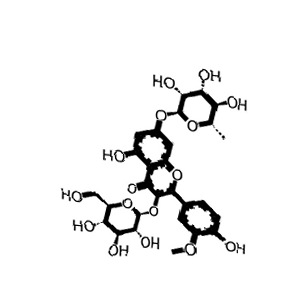 COc1cc(-c2oc3cc(O[C@@H]4O[C@@H](C)[C@H](O)[C@@H](O)[C@H]4O)cc(O)c3c(=O)c2O[C@@H]2O[C@H](CO)[C@@H](O)[C@H](O)[C@H]2O)ccc1O